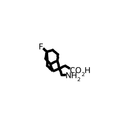 NCC1(CC(=O)O)C2CCC3(F)CC2C1C3